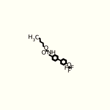 CCCCCOC(=O)NCc1ccc(-c2ccc(OC(F)(F)F)cc2)cc1